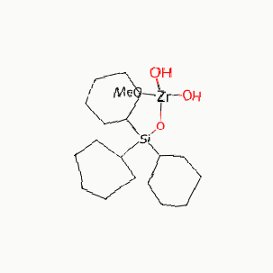 C[O][Zr]([OH])([OH])[O][Si](C1CCCCC1)(C1CCCCC1)C1CCCCC1